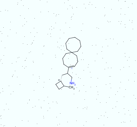 CC1CC[C@@H]1CC(CN)/C1=C/CCC2(CCCCCCC2)CCC1